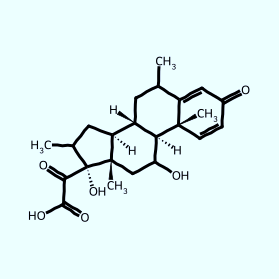 CC1C[C@@H]2[C@H](C(O)C[C@@]3(C)[C@H]2CC(C)[C@]3(O)C(=O)C(=O)O)[C@@]2(C)C=CC(=O)C=C12